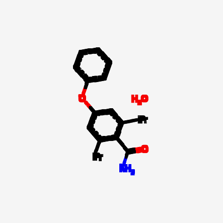 CC(C)c1cc(Oc2ccccc2)cc(C(C)C)c1C(N)=O.O